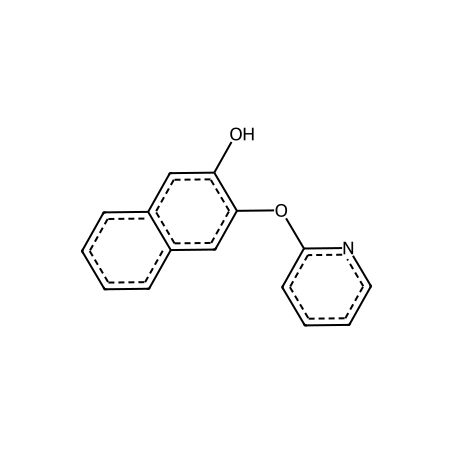 Oc1cc2ccccc2cc1Oc1ccccn1